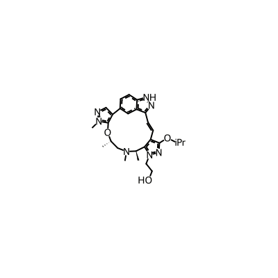 CC(C)Oc1nn(CCO)c2c1/C=C/c1n[nH]c3ccc(cc13)-c1cnn(C)c1O[C@@H](C)CN(C)[C@@H]2C